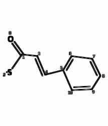 O=C([S])/C=C/c1ccccc1